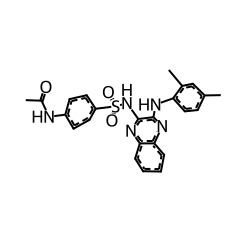 CC(=O)Nc1ccc(S(=O)(=O)Nc2nc3ccccc3nc2Nc2ccc(C)cc2C)cc1